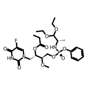 CCOC(OCC)[C@H](C)NP(=O)(OC[C@@H](OC)[C@H](Cn1cc(F)c(=O)[nH]c1=O)OC(=O)CC)Oc1ccccc1